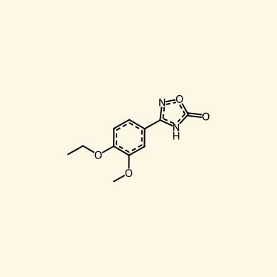 CCOc1ccc(-c2noc(=O)[nH]2)cc1OC